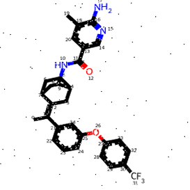 C/C(=C1/CC2CCC1CC2NC(=O)c1cnc(N)c(C)c1)c1cccc(Oc2ccc(C(F)(F)F)cc2)c1